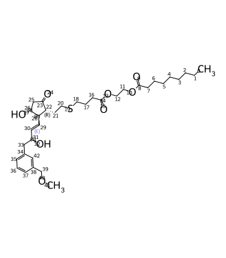 CCCCCCCCC(=O)OCCOC(=O)CCCSCC[C@H]1C(=O)C[C@@H](O)[C@@H]1/C=C/[C@@H](O)Cc1cccc(COC)c1